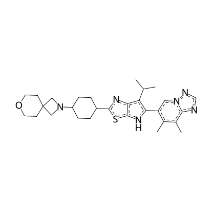 Cc1c(-c2[nH]c3sc(C4CCC(N5CC6(CCOCC6)C5)CC4)nc3c2C(C)C)cn2ncnc2c1C